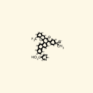 C[S+]([O-])c1ccc(C2C(=O)C(Cc3cccc(C(F)(F)F)c3)C(=O)c3c2ccc2c3ccc3ccccc32)cc1.O=C(O)c1cncnc1